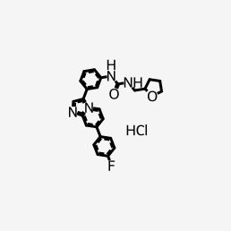 Cl.O=C(NCC1CCCO1)Nc1cccc(-c2cnc3cc(-c4ccc(F)cc4)ccn23)c1